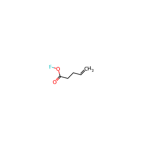 C=CCCC(=O)OF